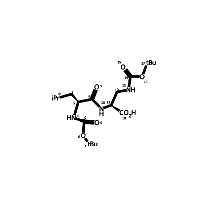 CC(C)C[C@H](NC(=O)OC(C)(C)C)C(=O)N[C@@H](CNC(=O)OC(C)(C)C)C(=O)O